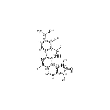 Cc1nnc(NC(C)c2cccc(C(F)F)c2F)c2c1ccc1c2n(C)c(=O)n1C